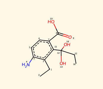 CCc1c(N)ccc(C(=O)O)c1C(O)(O)CC